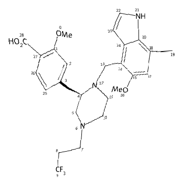 COc1cc([C@@H]2CN(CCC(F)(F)F)CCN2Cc2c(OC)cc(C)c3[nH]ccc23)ccc1C(=O)O